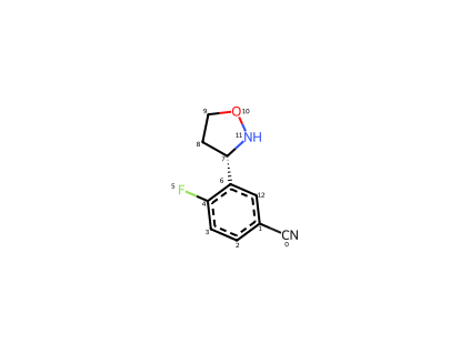 N#Cc1ccc(F)c([C@@H]2CCON2)c1